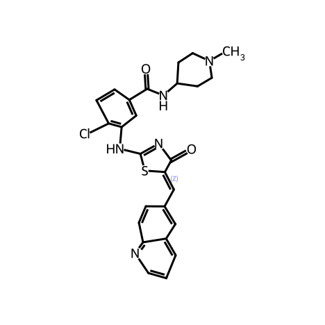 CN1CCC(NC(=O)c2ccc(Cl)c(NC3=NC(=O)/C(=C/c4ccc5ncccc5c4)S3)c2)CC1